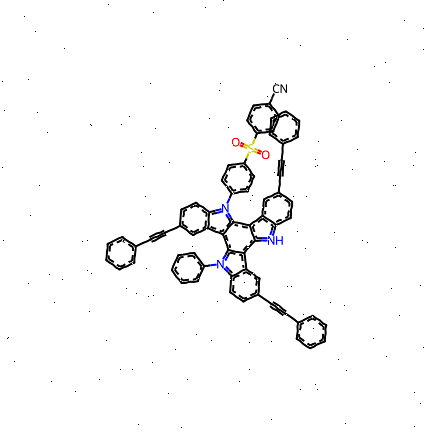 N#Cc1ccc(S(=O)(=O)c2ccc(-n3c4ccc(C#Cc5ccccc5)cc4c4c5c(c6cc(C#Cc7ccccc7)ccc6n5-c5ccccc5)c5[nH]c6ccc(C#Cc7ccccc7)cc6c5c43)cc2)cc1